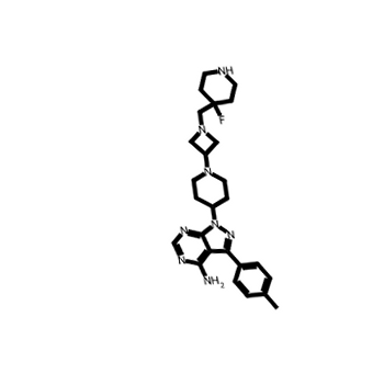 Cc1ccc(-c2nn(C3CCN(C4CN(CC5(F)CCNCC5)C4)CC3)c3ncnc(N)c23)cc1